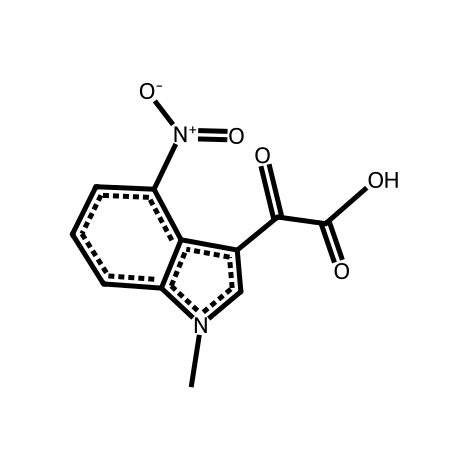 Cn1cc(C(=O)C(=O)O)c2c([N+](=O)[O-])cccc21